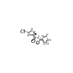 O=C(CC(=O)c1cc(Cl)cs1)c1ccccc1